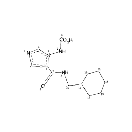 O=C(O)Nn1cncc1C(=O)NCC1CCCCC1